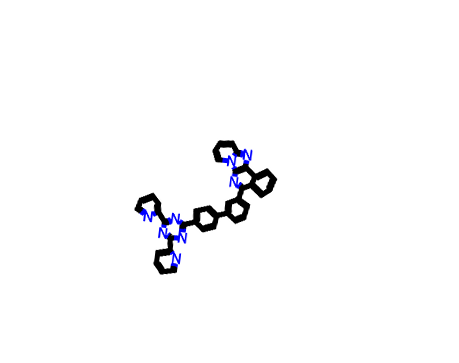 c1ccc(-c2nc(-c3ccc(-c4cccc(-c5nc6c(nc7ccccn76)c6ccccc56)c4)cc3)nc(-c3ccccn3)n2)nc1